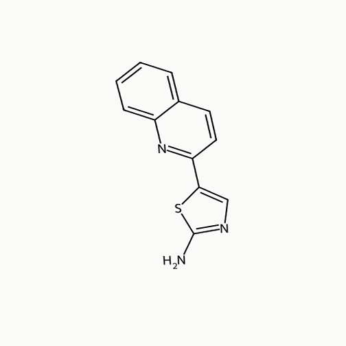 Nc1ncc(-c2ccc3ccccc3n2)s1